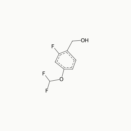 OCc1ccc(OC(F)F)cc1F